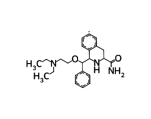 CCN(CC)CCOC(c1ccccc1)C1NC(C(N)=O)Cc2c[c]ccc21